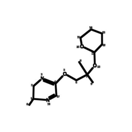 CC1CN=C(OCC(C)(C)OC2CCCCO2)C=N1